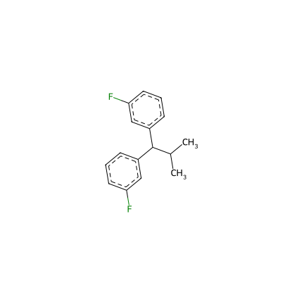 CC(C)C(c1cccc(F)c1)c1cccc(F)c1